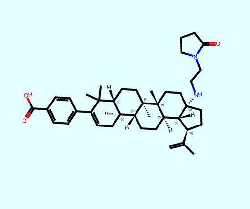 C=C(C)[C@@H]1CC[C@]2(NCCN3CCCC3=O)CC[C@]3(C)[C@H](CC[C@@H]4[C@@]5(C)CC=C(c6ccc(C(=O)O)cc6)C(C)(C)[C@@H]5CC[C@]43C)[C@@H]12